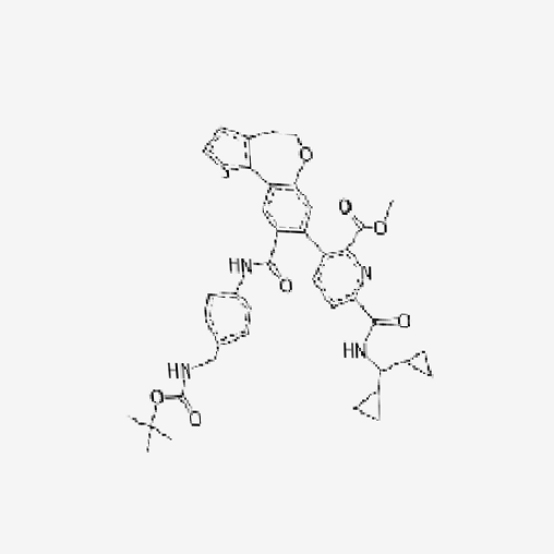 COC(=O)c1nc(C(=O)NC(C2CC2)C2CC2)ccc1-c1cc2c(cc1C(=O)Nc1ccc(CNC(=O)OC(C)(C)C)cc1)-c1sccc1CCO2